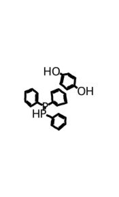 Oc1ccc(O)cc1.c1ccc(PP(c2ccccc2)c2ccccc2)cc1